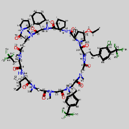 CCO[C@@H]1C[C@H]2C(=O)NC3(CCCC3)C(=O)N(C)[C@@H](C3CCCCC3)C(=O)N(C)[C@H](C(=O)N3CCCC3)CC(=O)N(C)[C@@H](CC(F)(F)F)C(=O)N[C@@H]([C@@H](C)CC)C(=O)N(C)CC(=O)N(C)CC(=O)N(C)[C@@H](Cc3ccc(C(F)(F)F)cc3)C(=O)N(C)CC(=O)N[C@@H](CCc3ccc(C(F)(F)F)c(Cl)c3)C(=O)N2C1